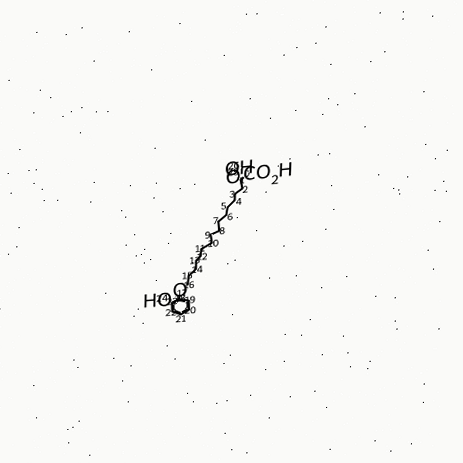 O=C(O)C(CCCCCCCCCCCCCCCOc1ccccc1O)OO